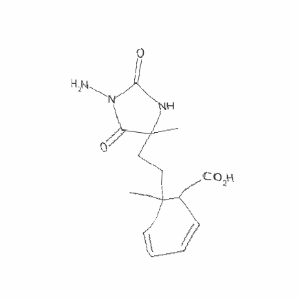 CC1(CCC2(C)C=CC=CC2C(=O)O)NC(=O)N(N)C1=O